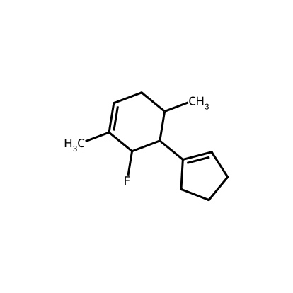 CC1=CCC(C)C(C2=CCCC2)C1F